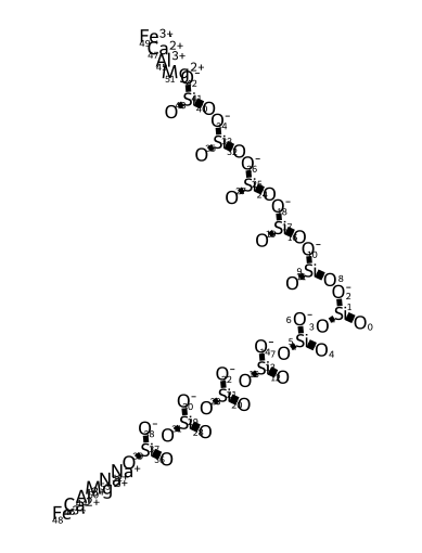 O=[Si]([O-])[O-].O=[Si]([O-])[O-].O=[Si]([O-])[O-].O=[Si]([O-])[O-].O=[Si]([O-])[O-].O=[Si]([O-])[O-].O=[Si]([O-])[O-].O=[Si]([O-])[O-].O=[Si]([O-])[O-].O=[Si]([O-])[O-].O=[Si]([O-])[O-].[Al+3].[Al+3].[Ca+2].[Ca+2].[Fe+3].[Fe+3].[Mg+2].[Mg+2].[Na+].[Na+]